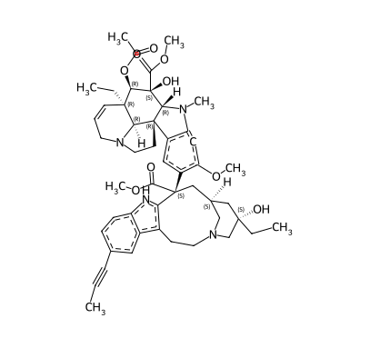 CC#Cc1ccc2[nH]c3c(c2c1)CCN1C[C@H](C[C@@](O)(CC)C1)C[C@]3(C(=O)OC)c1cc2c(cc1OC)N(C)[C@H]1[C@@](O)(C(=O)OC)[C@H](OC(C)=O)[C@]3(CC)C=CCN4CC[C@]21[C@@H]43